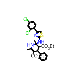 CCOC(=O)C1=C(C)NC(C)(Nc2nc(-c3ccc(Cl)cc3Cl)cs2)C(C(=O)OCC)C1c1ccccc1